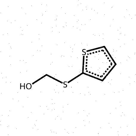 OCSc1cccs1